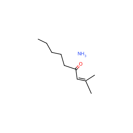 CCCCCC(=O)C=C(C)C.N